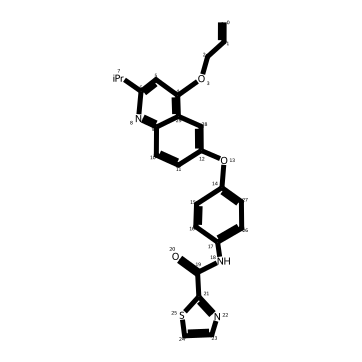 C=CCOc1cc(C(C)C)nc2ccc(Oc3ccc(NC(=O)c4nccs4)cc3)cc12